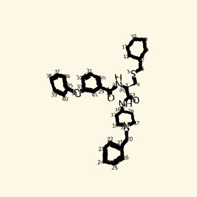 O=C(N[C@@H](CSCC1CCCCC1)C(=O)NC1CCN(Cc2ccccc2)CC1)c1cccc(Oc2ccccc2)c1